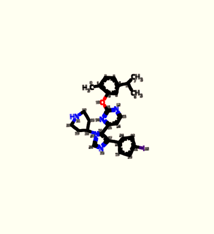 Cc1ccc(C(C)C)cc1Oc1nccc(-c2c(-c3ccc(I)cc3)ncn2C2CCNCC2)n1